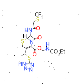 CCOC(=O)NCOC(=O)C1=C(C(C)Sc2nnn[nH]2)CS[C@H]2C(NC(=O)CSC(F)(F)F)C(=O)N12